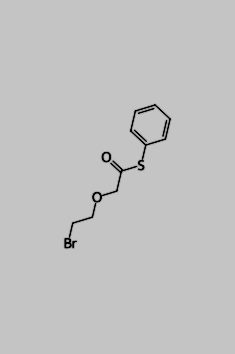 O=C(COCCBr)Sc1ccccc1